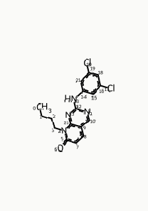 CCCCn1c(=O)ccc2cnc(Nc3cc(Cl)cc(Cl)c3)nc21